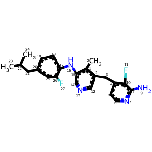 Cc1c(Cc2ccnc(N)c2F)cncc1Nc1ccc(CC(C)C)cc1F